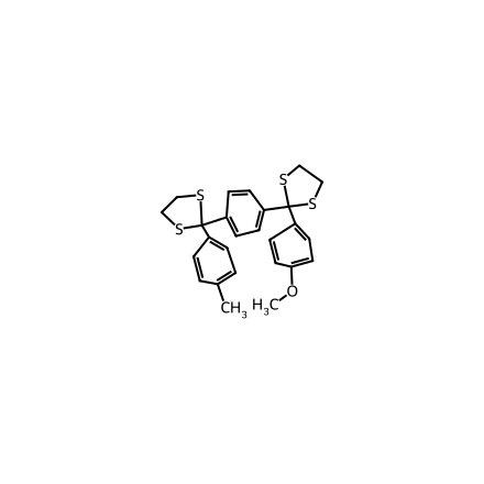 COc1ccc(C2(c3ccc(C4(c5ccc(C)cc5)SCCS4)cc3)SCCS2)cc1